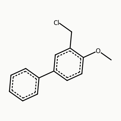 COc1ccc(-c2ccccc2)cc1CCl